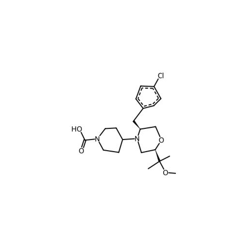 COC(C)(C)[C@H]1CN(C2CCN(C(=O)O)CC2)[C@@H](Cc2ccc(Cl)cc2)CO1